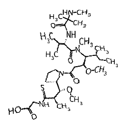 CC[C@H](C)[C@@H](C(CC(=O)N1CCC[C@H]1[C@H](OC)[C@@H](C)C(=S)NCC(=O)O)OC)N(C)C(=O)[C@@H](NC(=O)C(C)(C)NC)C(C)C